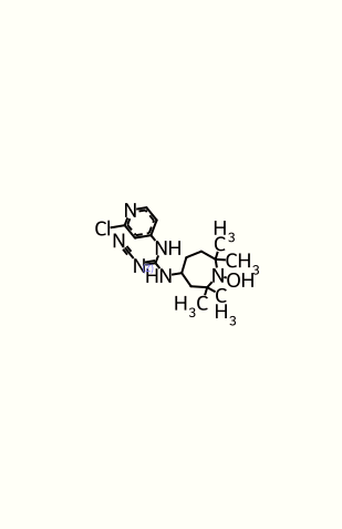 CC1(C)CCC(N/C(=N/C#N)Nc2ccnc(Cl)c2)CC(C)(C)N1O